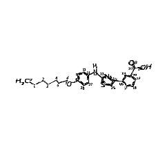 CCCCCCCOc1ccc(Nc2nc(-c3cccc(C(=O)O)c3)cs2)cc1